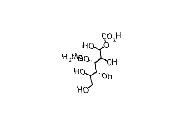 O=C(O)OC(O)[C@@H](O)[C@@H](O)[C@H](O)[C@H](O)CO.[MgH2]